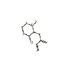 C=CC(=C)CC1C(CC)CCCN1C